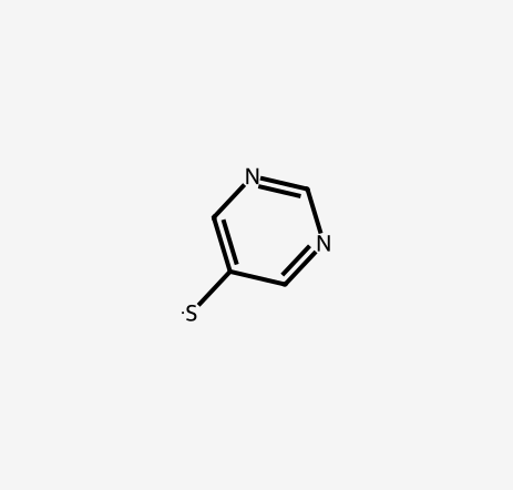 [S]c1cncnc1